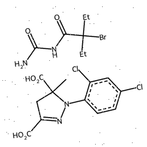 CC1(C(=O)O)CC(C(=O)O)=NN1c1ccc(Cl)cc1Cl.CCC(Br)(CC)C(=O)NC(N)=O